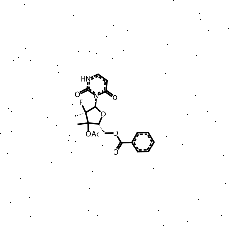 CC(=O)OC1(C)[C@@H](COC(=O)c2ccccc2)OC(n2c(=O)cc[nH]c2=O)[C@]1(C)F